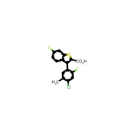 Cc1cc(-c2c(C(=O)O)sc3cc(F)ccc23)c(F)cc1Cl